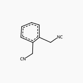 [C-]#[N+]Cc1ccccc1C[N+]#[C-]